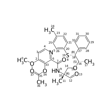 COc1ccnc(C(=O)N[C@@](C)(C=O)CO[C@@H](C)[C@H](Sc2ccc(C)cc2)c2ccccc2)c1OC(C)=O